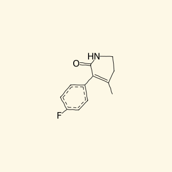 CC1=C(c2ccc(F)cc2)C(=O)NCC1